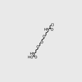 O=C(O)NCCCOCCOCCOCCCNC(=O)CCl